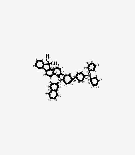 CC1(C)c2ccccc2-c2ccc3c(ccc4c5cc(-c6ccc(N(c7ccccc7)c7ccccc7)cc6)ccc5n(-c5ccc6ccccc6c5)c34)c21